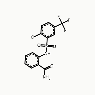 NC(=O)c1ccccc1NS(=O)(=O)c1cc(C(F)(F)F)ccc1Cl